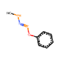 N#CPN=POc1ccccc1